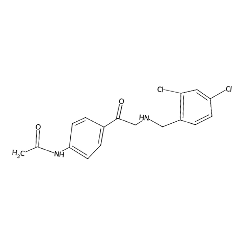 CC(=O)Nc1ccc(C(=O)CNCc2ccc(Cl)cc2Cl)cc1